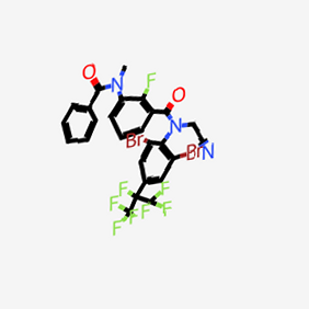 CN(C(=O)c1ccccc1)c1cccc(C(=O)N(CC#N)c2c(Br)cc(C(F)(C(F)(F)F)C(F)(F)F)cc2Br)c1F